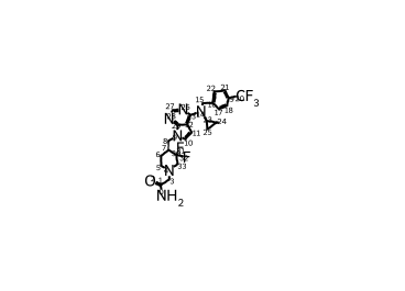 NC(=O)CN1CC[C@@H](Cn2ccc3c(N(Cc4ccc(C(F)(F)F)cc4)C4CC4)ncnc32)C(F)(F)C1